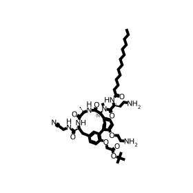 CCCCCCCCCCCCCC(=O)N[C@@H](CCN)C(=O)N(C)[C@@H]1C(=O)N[C@@H](C)C(=O)N[C@H](C(=O)NCC#N)Cc2ccc(OCC(=O)OC(C)(C)C)c(c2)-c2cc1ccc2OCCN